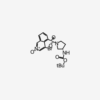 CC(C)(C)OC(=O)N[C@H]1CCN(S(=O)(=O)c2cccc3c[n+]([O-])cc(Br)c23)C1